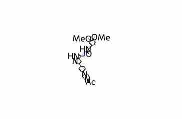 COc1ccc(CNC(=O)/C=C/c2c[nH]c3ncc(-c4ccc(N5CCN(C(C)=O)CC5)cc4)cc23)cc1OC